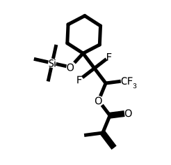 C=C(C)C(=O)OC(C(F)(F)F)C(F)(F)C1(O[Si](C)(C)C)CCCCC1